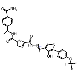 C/C(=N\NC(=O)c1ccc(C(=O)NC(C)c2ccc(C(N)=O)cc2)s1)c1csc(-c2ccc(OC(F)(F)F)cc2)c1O